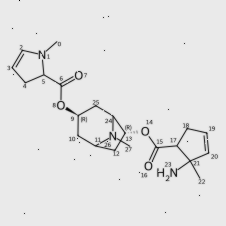 CN1C=CCC1C(=O)O[C@@H]1CC2C[C@@H](OC(=O)C3CC=CC3(C)N)C(C1)N2C